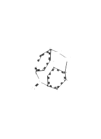 [N-]=[N+]1c2ccc(cc2)SSc2ccc1cc2